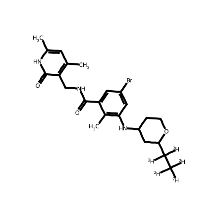 [2H]C([2H])([2H])C([2H])([2H])C1CC(Nc2cc(Br)cc(C(=O)NCc3c(C)cc(C)[nH]c3=O)c2C)CCO1